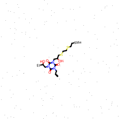 C=CCn1c(=O)n(CC(O)CC)c(=O)n(CC(O)CSCCSCCSC)c1=O